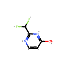 Oc1ccnc(C(F)F)n1